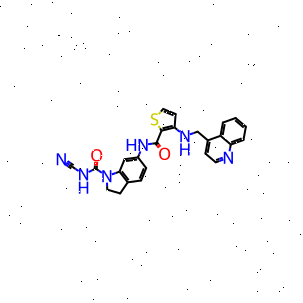 N#CNC(=O)N1CCc2ccc(NC(=O)c3sccc3NCc3ccnc4ccccc34)cc21